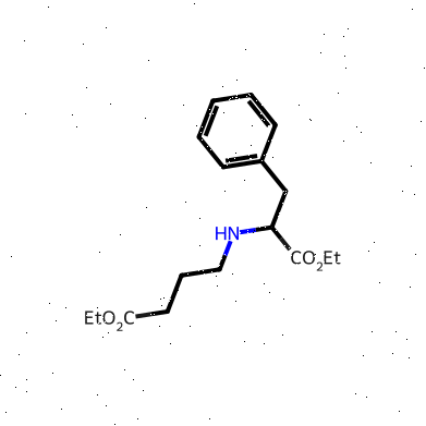 CCOC(=O)CCCNC(Cc1ccccc1)C(=O)OCC